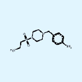 CCCS(=O)(=O)N1CCN(Cc2ccc(N)cc2)CC1